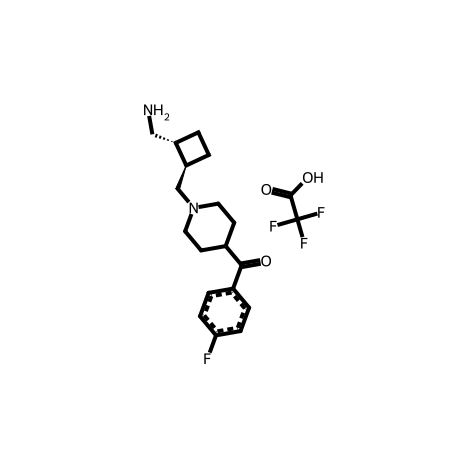 NC[C@@H]1CC[C@H]1CN1CCC(C(=O)c2ccc(F)cc2)CC1.O=C(O)C(F)(F)F